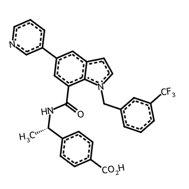 C[C@H](NC(=O)c1cc(-c2cccnc2)cc2ccn(Cc3cccc(C(F)(F)F)c3)c12)c1ccc(C(=O)O)cc1